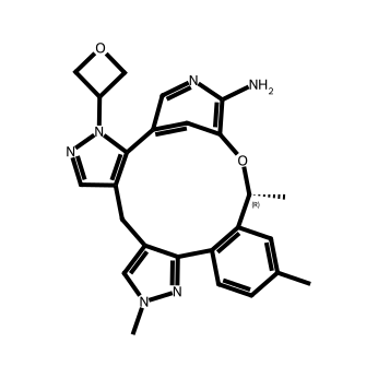 Cc1ccc2c(c1)[C@@H](C)Oc1cc(cnc1N)-c1c(cnn1C1COC1)Cc1cn(C)nc1-2